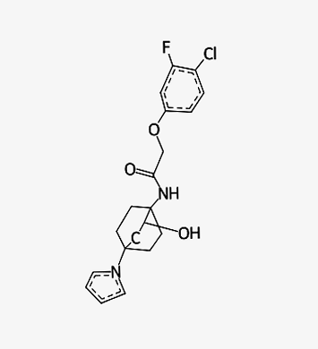 O=C(COc1ccc(Cl)c(F)c1)NC12CCC(n3cccc3)(CC1)CC2O